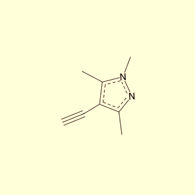 C#Cc1c(C)nn(C)c1C